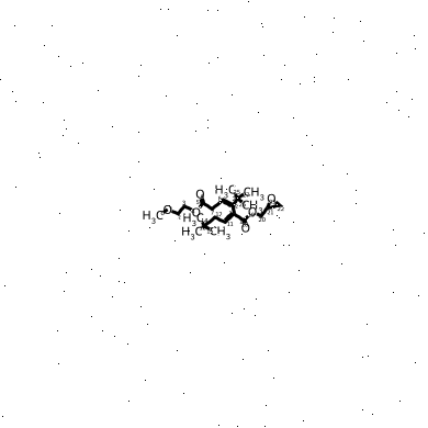 COCCOC(=O)C/C=C(\C(=C/CC(C)(C)C)C(=O)OCC1CO1)C(C)(C)C